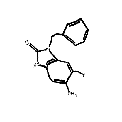 O=c1[nH]c2cc(P)c(F)cc2n1Cc1ccccc1